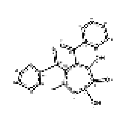 Cc1cc(O)c(=O)c(O)c(C(=O)c2ccccc2)c1C(=O)c1ccccc1